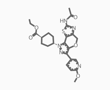 CCOC(=O)[C@H]1CC[C@H](n2nc(-c3ccc(OC)nc3)c3c2-c2sc(NC(C)=O)nc2CO3)CC1